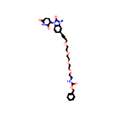 Cn1c(=O)n(C2CCC(=O)NC2=O)c2ccc(C#CCOCCOCCOCCOCCNC(=O)OCc3ccccc3)cc21